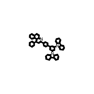 c1ccc(-c2cc(-c3ccc(-c4cc(-n5c6ccccc6c6ccccc65)cc(-n5c6ccccc6c6ccccc65)c4)cc3)nc3ccc4ccccc4c23)cc1